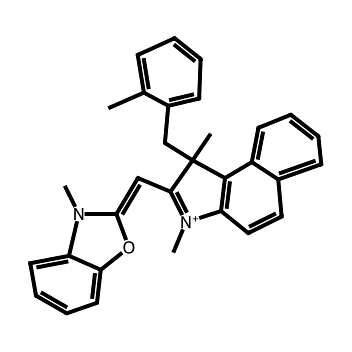 Cc1ccccc1CC1(C)C(/C=C2\Oc3ccccc3N2C)=[N+](C)c2ccc3ccccc3c21